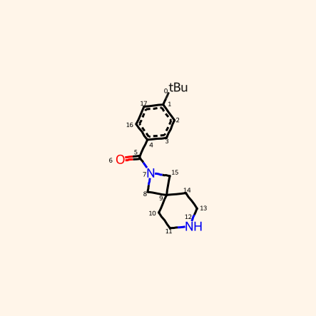 CC(C)(C)c1ccc(C(=O)N2CC3(CCNCC3)C2)cc1